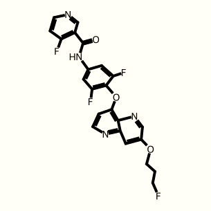 O=C(Nc1cc(F)c(Oc2ccnc3cc(OCCCF)cnc23)c(F)c1)c1cnccc1F